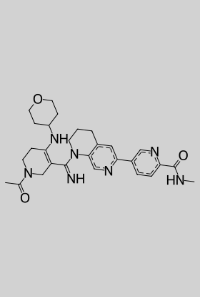 CNC(=O)c1ccc(-c2cc3c(cn2)N(C(=N)C2=C(NC4CCOCC4)CCN(C(C)=O)C2)CCC3)cn1